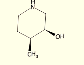 C[C@H]1CCNC[C@H]1O